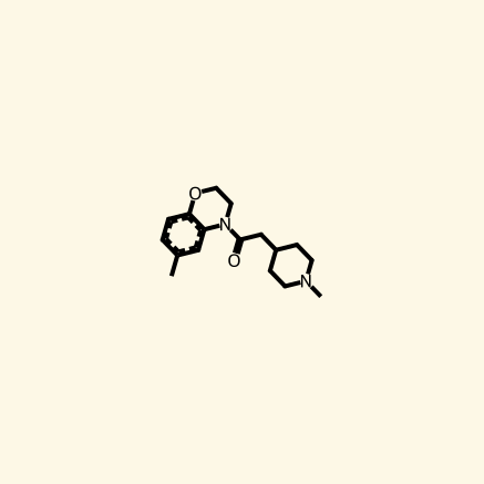 Cc1ccc2c(c1)N(C(=O)CC1CCN(C)CC1)CCO2